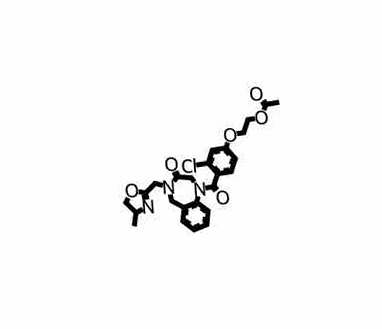 CC(=O)OCCOc1ccc(C(=O)N2CC(=O)N(CC3=NC(C)CO3)Cc3ccccc32)c(Cl)c1